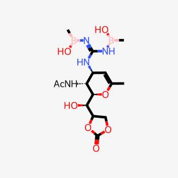 CB(O)/N=C(/NB(C)O)N[C@H]1C=C(C)O[C@@H]([C@H](O)C2COC(=O)O2)[C@@H]1NC(C)=O